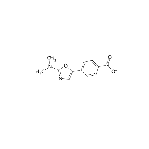 CN(C)c1ncc(-c2ccc([N+](=O)[O-])cc2)o1